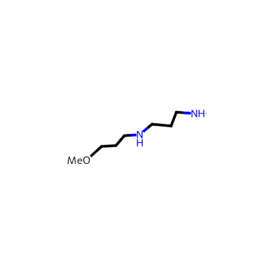 COCCCNCCC[NH]